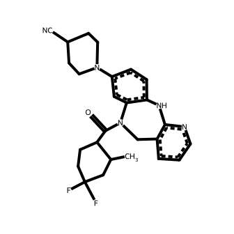 CC1CC(F)(F)CCC1C(=O)N1Cc2cccnc2Nc2ccc(N3CCC(C#N)CC3)cc21